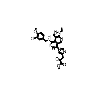 CCn1ncc2c3c(NCc4ccc(OC)c(Cl)c4)nnc(-n4cnc(CC(=O)C(=O)OC)c4)c3cnc21